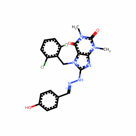 Cn1c(=O)c2c(nc(N/N=C/c3ccc(O)cc3)n2Cc2c(Cl)cccc2Cl)n(C)c1=O